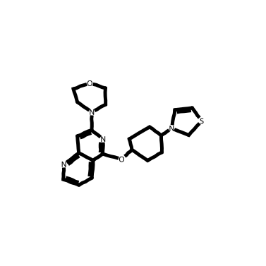 C1=CN(C2CCC(Oc3nc(N4CCOCC4)cc4ncccc34)CC2)CS1